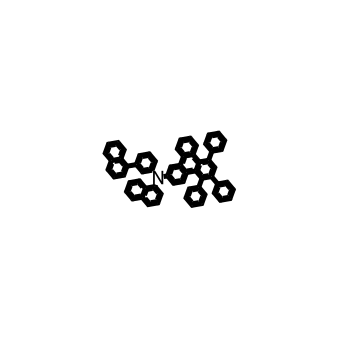 c1ccc(-c2cc(-c3ccccc3)c3c4ccccc4c4cc(N(c5cccc(-c6cccc7ccccc67)c5)c5cccc6ccccc56)ccc4c3c2-c2ccccc2)cc1